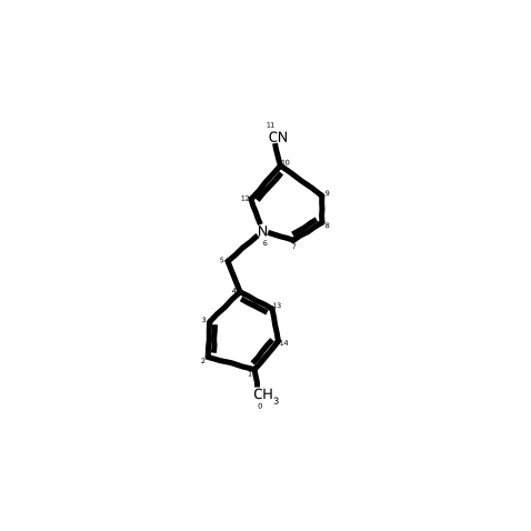 Cc1ccc(CN2C=CCC(C#N)=C2)cc1